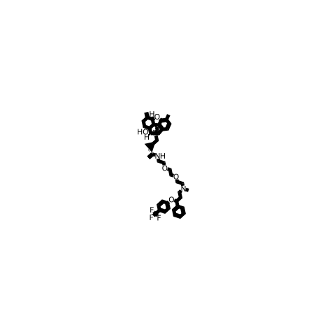 C=C(NCCOCCOCCN(C)CCC(Oc1ccc(C(F)(F)F)cc1)c1ccccc1)[C@@H]1CC1CN1CC[C@]23c4c5ccc(C)c4O[C@H]2C(=C)CC[C@@]3(O)[C@H]1C5